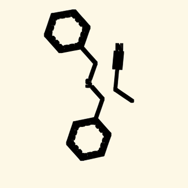 CCC#N.c1ccc(CSCc2ccccc2)cc1